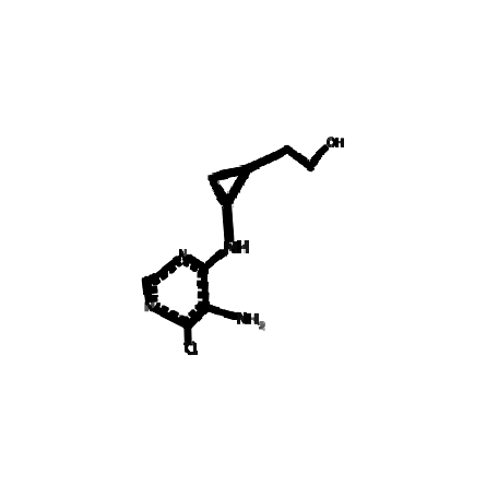 Nc1c(Cl)ncnc1NC1CC1CCO